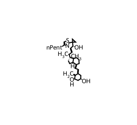 C=C1/C(=C\C=C2/CCC[C@]3(C)[C@@H]([C@@H](C)/C=C/[C@@H](O)C4(c5nc(CCCCC)cs5)CC4)CC[C@@H]23)C[C@@H](O)C[C@@H]1O